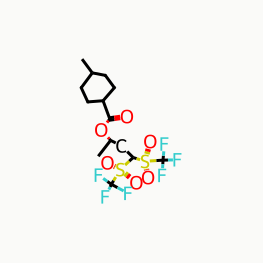 CC1CCC(C(=O)OC(C)CC(S(=O)(=O)C(F)(F)F)S(=O)(=O)C(F)(F)F)CC1